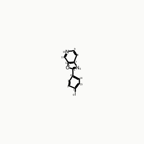 Ic1ccc(-c2nc3ccncc3o2)cc1